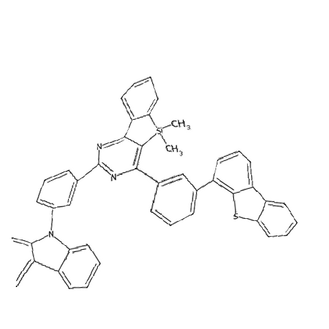 C[Si]1(C)c2ccccc2-c2nc(-c3cccc(-n4c5ccccc5c5ccccc54)c3)nc(-c3cccc(-c4cccc5c4sc4ccccc45)c3)c21